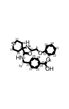 C[C@H](NC(=O)C1(NCCOc2ccccc2)CCSCC1)c1ccc(C(=O)O)cc1